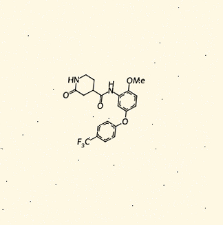 COc1ccc(Oc2ccc(C(F)(F)F)cc2)cc1NC(=O)C1CCNC(=O)C1